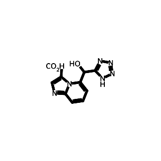 O=C(O)c1cnc2cccc(C(O)c3nnn[nH]3)n12